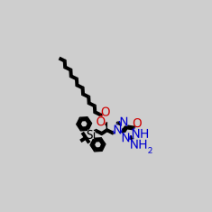 CCCCCCCCCCCCCC(=O)OC[C@H](CC[Si](c1ccccc1)(c1ccccc1)C(C)(C)C)Cn1cnc2c(=O)[nH]c(N)nc21